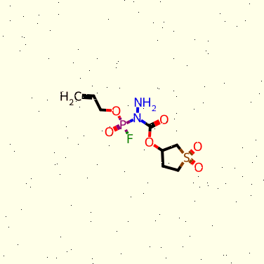 C=CCOP(=O)(F)N(N)C(=O)OC1CCS(=O)(=O)C1